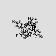 CCCC1(CCC)NC(=O)N(C(C(=O)Nc2ccc(Br)cc2)C(C(=O)Nc2ccc(Br)cc2)N2C(=O)NC3(CCCCC3)C2=O)C1=O